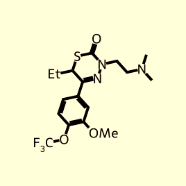 CCC1SC(=O)N(CCN(C)C)N=C1c1ccc(OC(F)(F)F)c(OC)c1